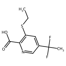 CCSc1cc(C(C)(F)F)cnc1C(=O)O